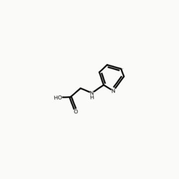 O=C(O)CNc1cc[c]cn1